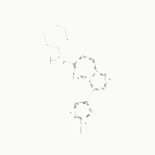 c1n[nH]cc1-c1cnc2ccc(NC3CCOCC3)nn12